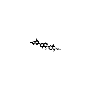 Cc1cn2cc(-c3cc(F)c4c(=O)n(C5CCN(C(=O)OC(C)(C)C)C6(CC6)C5)ccc4c3)cc(C)c2n1